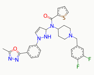 Cc1nnc(-c2cccc(N3C=CC(N(C(=O)c4cccs4)C4CCN(Cc5ccc(F)c(F)c5)CC4)N3)c2)o1